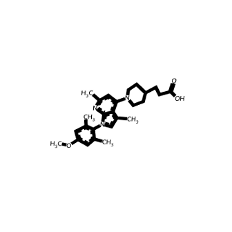 COc1cc(C)c(-n2cc(C)c3c(N4CCC(CCC(=O)O)CC4)cc(C)nc32)c(C)c1